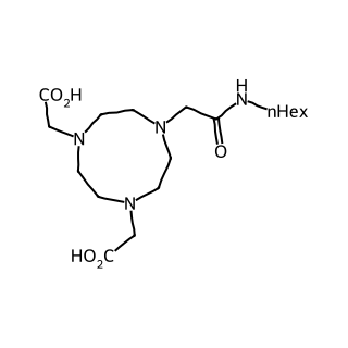 CCCCCCNC(=O)CN1CCN(CC(=O)O)CCN(CC(=O)O)CC1